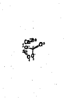 O=C([O-])[O-].O=S.[Ca+2]